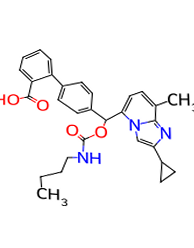 CCCCNC(=O)OC(c1ccc(-c2ccccc2C(=O)O)cc1)c1ccc(C)c2nc(C3CC3)cn12